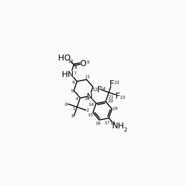 CC(C)(C)C1CC(NC(=O)O)CCN1c1ccc(N)cc1C(F)(F)F